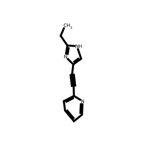 CCc1nc(C#Cc2ccccn2)c[nH]1